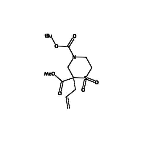 C=CCC1(C(=O)OC)CN(C(=O)OC(C)(C)C)CCS1(=O)=O